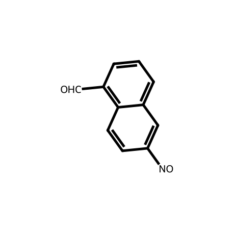 O=Cc1cccc2cc(N=O)ccc12